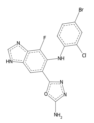 Nc1nnc(-c2cc3[nH]cnc3c(F)c2Nc2ccc(Br)cc2Cl)o1